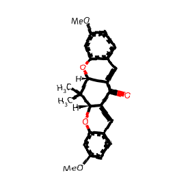 COc1ccc2c(c1)O[C@@H]1C(=C2)C(=O)C2=Cc3ccc(OC)cc3O[C@@H]2C1(C)C